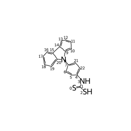 S=C(S)Nc1ccc(-n2c3ccccc3c3ccccc32)cc1